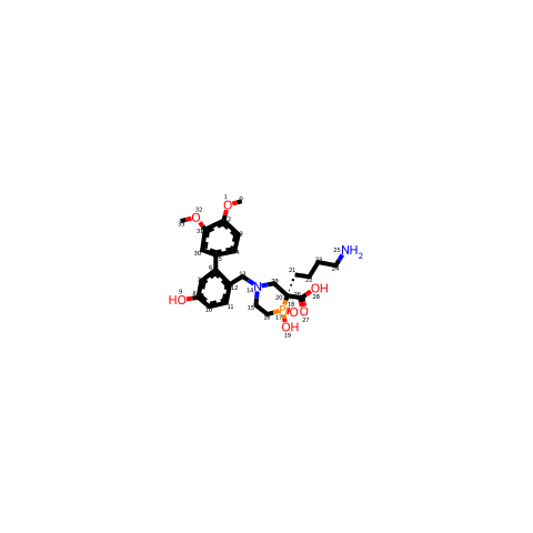 COc1ccc(-c2cc(O)ccc2CN2CCP(=O)(O)[C@](CCCCN)(C(=O)O)C2)cc1OC